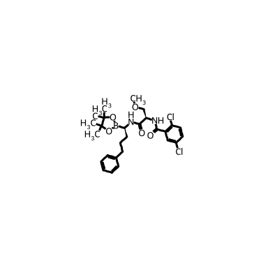 COC[C@@H](NC(=O)c1cc(Cl)ccc1Cl)C(=O)N[C@@H](CCCc1ccccc1)B1OC(C)(C)C(C)(C)O1